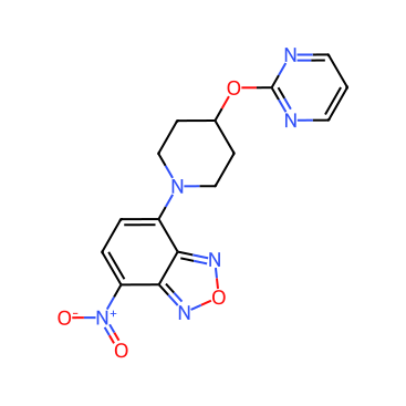 O=[N+]([O-])c1ccc(N2CCC(Oc3ncccn3)CC2)c2nonc12